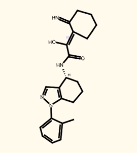 Cc1ccccc1-n1ncc2c1CCC[C@H]2NC(=O)/C(O)=C1\CCCCC1=N